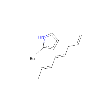 C=CCC=CC=CC.Cc1ccc[nH]1.[Ru]